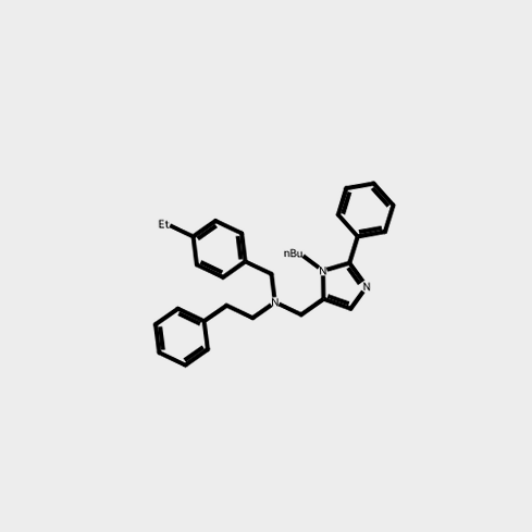 CCCCn1c(CN(CCc2ccccc2)Cc2ccc(CC)cc2)cnc1-c1ccccc1